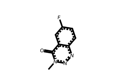 Cn1nnc2ccc(F)cc2c1=O